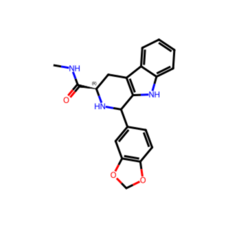 CNC(=O)[C@H]1Cc2c([nH]c3ccccc23)C(c2ccc3c(c2)OCO3)N1